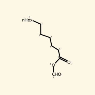 CCCCCCCCCCCC(=O)O[C]=O